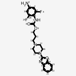 Nc1cc(F)c(NC(=O)OCCCN2CCN(c3nc4ccccc4o3)CC2)c(F)c1